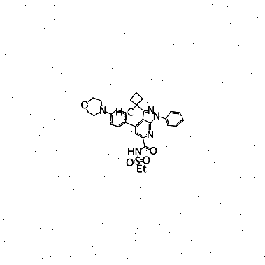 CCS(=O)(=O)NC(=O)c1cc(-c2ccc(N3CCOCC3)cc2)c2c(C3(C)CCC3)nn(-c3ccccc3)c2n1